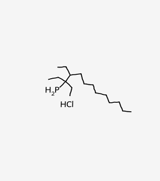 CCCCCCCCCC(CC)C(P)(CC)CC.Cl